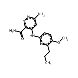 CCCc1nc(Nc2cc(N)nnc2C(N)=O)ccc1OC